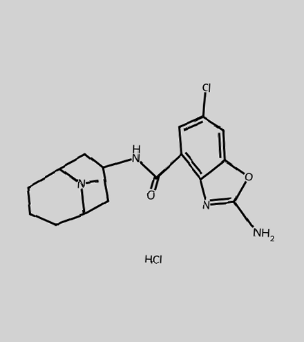 CN1C2CCCC1CC(NC(=O)c1cc(Cl)cc3oc(N)nc13)C2.Cl